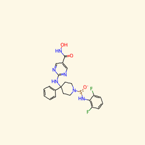 O=C(NO)c1cnc(NC2(c3ccccc3)CCN([S+]([O-])Nc3c(F)cccc3F)CC2)nc1